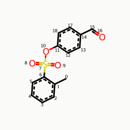 Cc1ccccc1S(=O)(=O)Oc1ccc(C=O)cc1